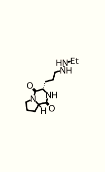 CCNNCCC[C@@H]1NC(=O)[C@@H]2CCCN2C1=O